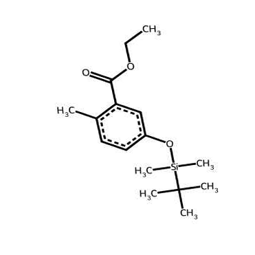 CCOC(=O)c1cc(O[Si](C)(C)C(C)(C)C)ccc1C